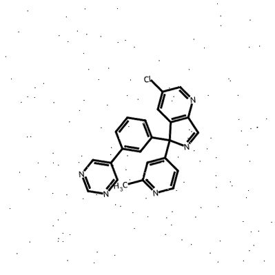 Cc1cc(C2(c3cccc(-c4cncnc4)c3)N=Cc3ncc(Cl)cc32)ccn1